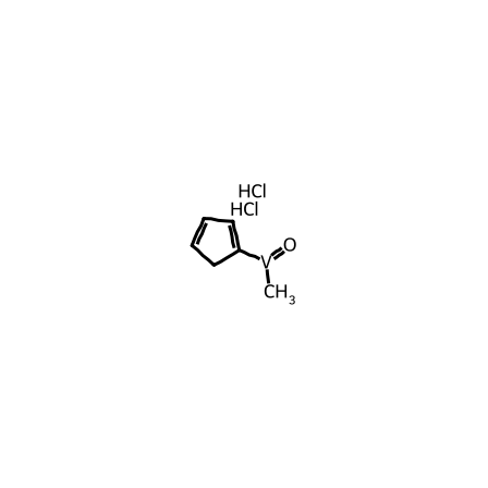 Cl.Cl.[CH3][V](=[O])[C]1=CC=CC1